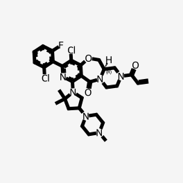 C=CC(=O)N1CCN2C(=O)c3c(N4CC(N5CCN(C)CC5)CC4(C)C)nc(-c4c(F)cccc4Cl)c(Cl)c3OC[C@H]2C1